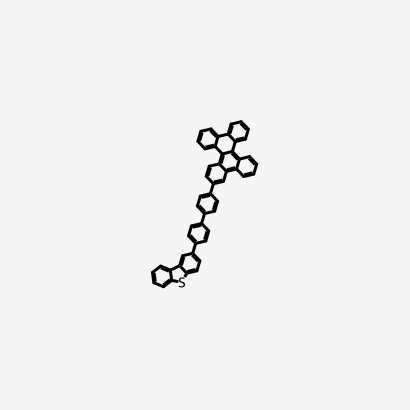 c1ccc2c(c1)sc1ccc(-c3ccc(-c4ccc(-c5ccc6c(c5)c5ccccc5c5c7ccccc7c7ccccc7c65)cc4)cc3)cc12